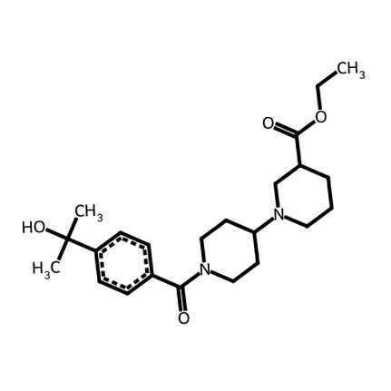 CCOC(=O)C1CCCN(C2CCN(C(=O)c3ccc(C(C)(C)O)cc3)CC2)C1